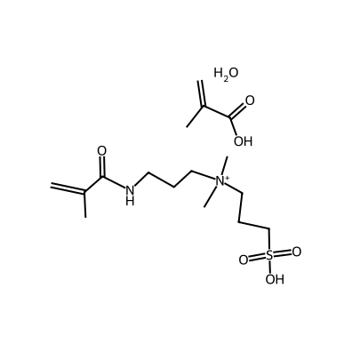 C=C(C)C(=O)NCCC[N+](C)(C)CCCS(=O)(=O)O.C=C(C)C(=O)O.O